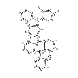 Cc1cc(C)c(-n2c3ccccc3c3cc4c5cccc6c5n(c4cc32)-c2cccc3c2B6c2ccccc2O3)c(C)c1